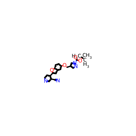 CC(C)(C)OC(=O)n1cc(COc2ccc3oc(-c4ccncc4C#N)cc3c2)cn1